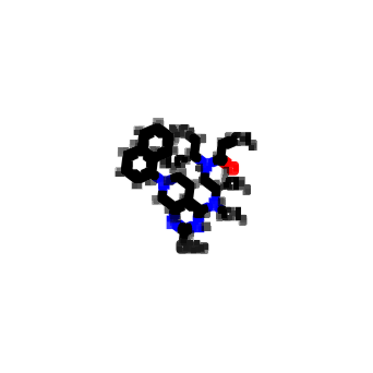 C=CC(=O)N(C[C@H](C)N(C)c1nc(OC)nc2c1CCN(c1cccc3ccccc13)C2)[C@H](C)CC#N